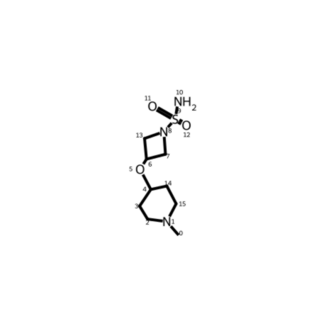 CN1CCC(OC2CN(S(N)(=O)=O)C2)CC1